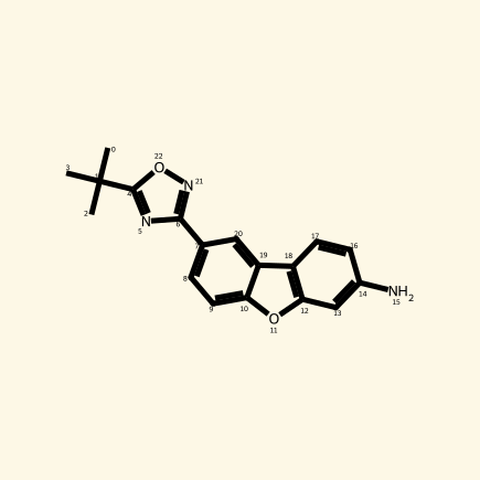 CC(C)(C)c1nc(-c2ccc3oc4cc(N)ccc4c3c2)no1